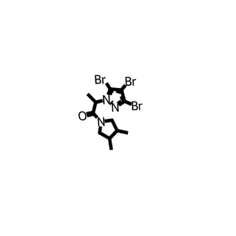 CC1CN(C(=O)C(C)n2nc(Br)c(Br)c2Br)CC1C